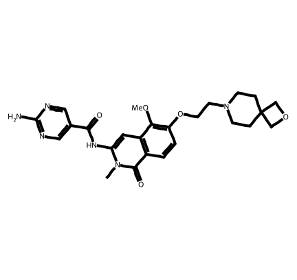 COc1c(OCCN2CCC3(CC2)COC3)ccc2c(=O)n(C)c(NC(=O)c3cnc(N)nc3)cc12